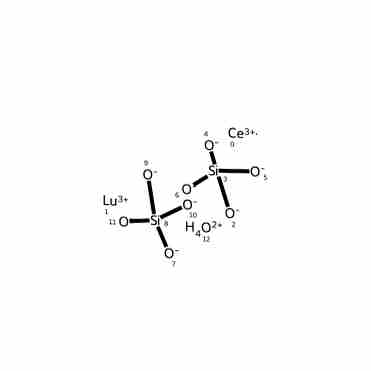 [Ce+3].[Lu+3].[O-][Si]([O-])([O-])[O-].[O-][Si]([O-])([O-])[O-].[OH4+2]